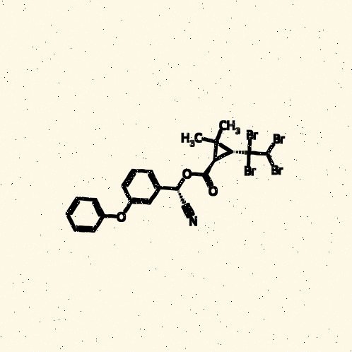 CC1(C)[C@H](C(=O)O[C@H](C#N)c2cccc(Oc3ccccc3)c2)[C@H]1C(Br)(Br)C(Br)Br